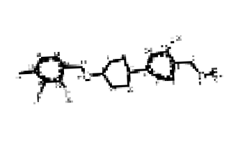 CCOCc1ccc(C2CCC(OCc3ccc(C)c(F)c3F)CC2)cc1F